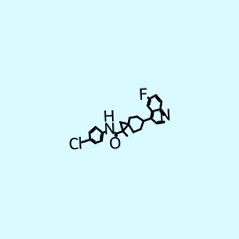 CC1(C(=O)Nc2ccc(Cl)cc2)CC12CCC(c1ccnc3ccc(F)cc13)CC2